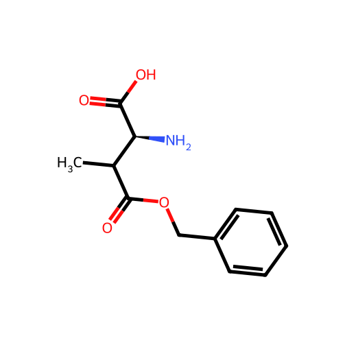 CC(C(=O)OCc1ccccc1)[C@H](N)C(=O)O